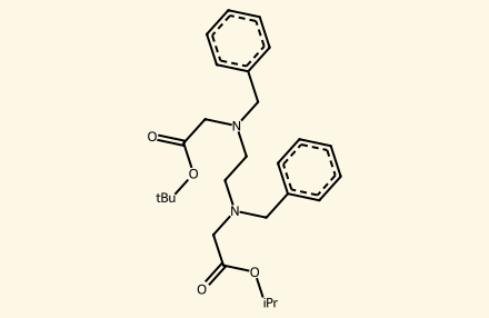 CC(C)OC(=O)CN(CCN(CC(=O)OC(C)(C)C)Cc1ccccc1)Cc1ccccc1